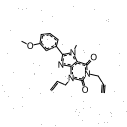 C#CCn1c(=O)c2c(nc(-c3cccc(OC)c3)n2C)n(CC=C)c1=O